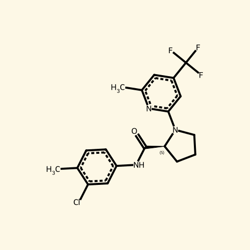 Cc1cc(C(F)(F)F)cc(N2CCC[C@H]2C(=O)Nc2ccc(C)c(Cl)c2)n1